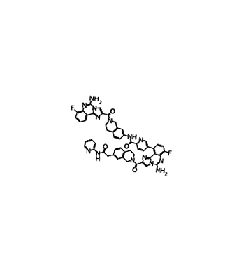 Nc1nc2c(F)cccc2c2nc(C(=O)N3CCc4ccc(NC(=O)c5ccc(-c6ccc(F)c7nc(N)n8cc(C(=O)N9CCc%10ccc(CC(=O)Nc%11ccccn%11)cc%10C9)nc8c67)cn5)cc4C3)cn12